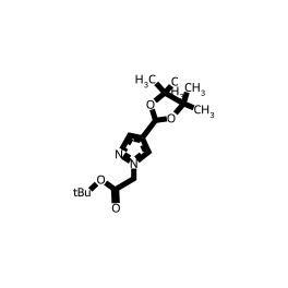 CC(C)(C)OC(=O)Cn1cc(C2OC(C)(C)C(C)(C)O2)cn1